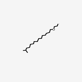 [CH2]CCOCCCCCCCCCCCCCC(C)C